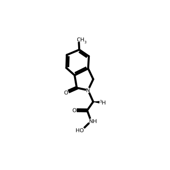 [3H][C@@H](C(=O)NO)N1Cc2cc(C)ccc2C1=O